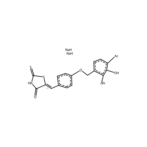 CCCc1c(COc2ccc(/C=C3\SC(=S)NC3=O)cc2)ccc(C(C)=O)c1O.[NaH].[NaH]